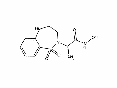 C[C@H](C(=O)NO)N1CCNc2ccccc2S1(=O)=O